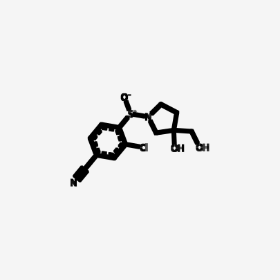 N#Cc1ccc([S+]([O-])N2CCC(O)(CO)C2)c(Cl)c1